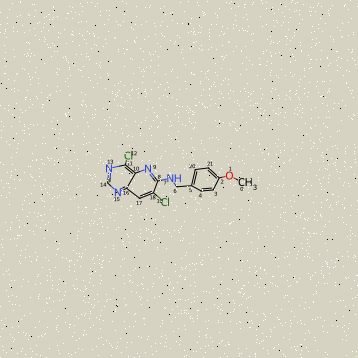 COc1ccc(CNc2nc3c(Cl)ncnc3cc2Cl)cc1